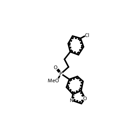 COP(=O)(CCc1ccc(Cl)cc1)c1ccc2ocnc2c1